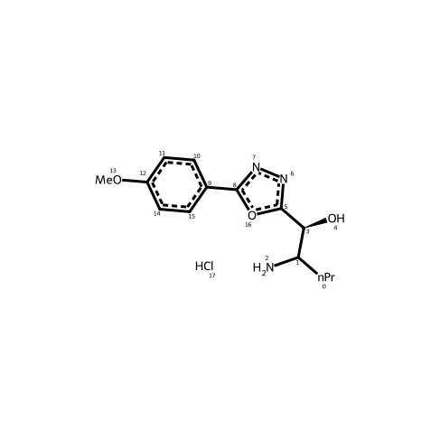 CCCC(N)[C@H](O)c1nnc(-c2ccc(OC)cc2)o1.Cl